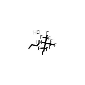 CCCNC(C(F)(F)F)(C(F)(F)F)C(F)(F)F.Cl